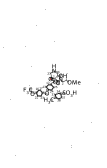 COCCN(O)C(=O)C1(S(=O)(=O)c2ccc(Oc3ccc(OC(F)(F)F)cc3)cc2)CCNCC1.Cc1ccc(S(=O)(=O)O)cc1